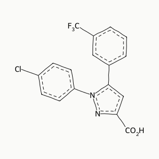 O=C(O)c1cc(-c2cccc(C(F)(F)F)c2)n(-c2ccc(Cl)cc2)n1